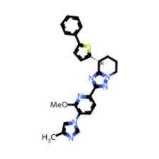 COc1nc(-c2nc3n(n2)CCC[C@H]3c2ccc(-c3ccccc3)s2)ccc1-n1cnc(C)c1